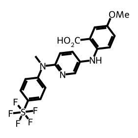 COc1ccc(Nc2ccc(N(C)c3ccc(S(F)(F)(F)(F)F)cc3)nc2)c(C(=O)O)c1